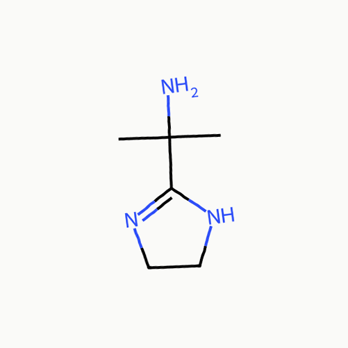 CC(C)(N)C1=NCCN1